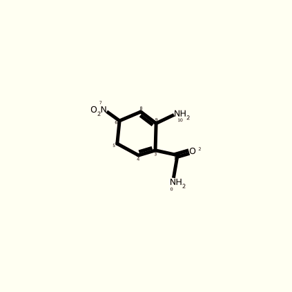 NC(=O)C1=CCC([N+](=O)[O-])C=C1N